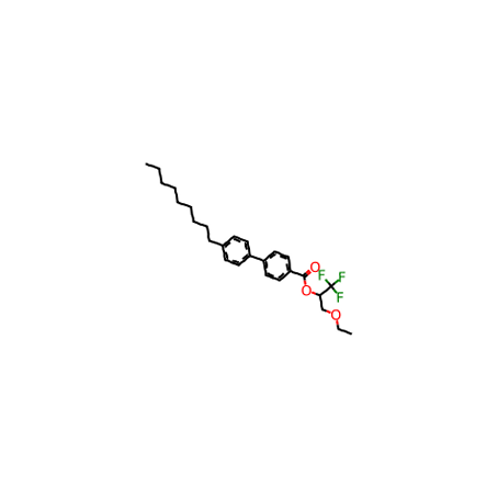 CCCCCCCCCc1ccc(-c2ccc(C(=O)OC(COCC)C(F)(F)F)cc2)cc1